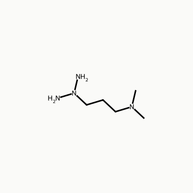 CN(C)CCCN(N)N